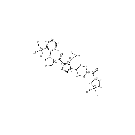 O=C(N1CCC(n2ncc(C(=O)N3CCCC3c3ccccc3C(F)(F)F)c2C2CC2)CC1)N1CCC(F)(F)C1